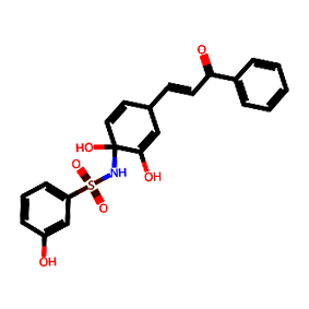 O=C(/C=C/C1C=CC(O)(NS(=O)(=O)c2cccc(O)c2)C(O)=C1)c1ccccc1